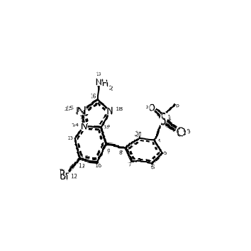 CS(=O)(=O)c1cccc(-c2cc(Br)cn3nc(N)nc23)c1